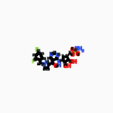 NS(=O)(=O)OC[C@H]1C[C@@H](Nc2ncncc2C(=O)c2ccn(Cc3ccc(F)cc3F)n2)[C@H](O)[C@@H]1O